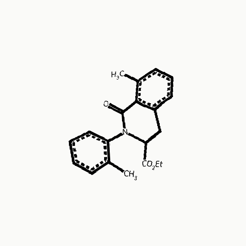 CCOC(=O)C1Cc2cccc(C)c2C(=O)N1c1ccccc1C